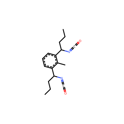 CCCC(N=C=O)c1cccc(C(CCC)N=C=O)c1C